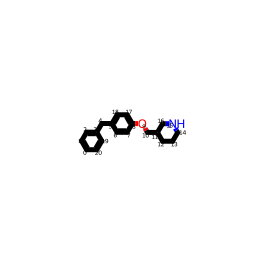 c1ccc(Cc2ccc(OCC3CCCNC3)cc2)cc1